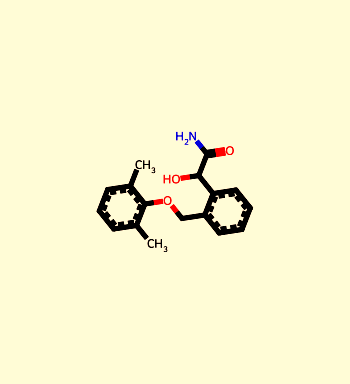 Cc1cccc(C)c1OCc1ccccc1C(O)C(N)=O